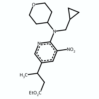 CCOC(=O)CC(C)c1cnc(N(CC2CC2)C2CCOCC2)c([N+](=O)[O-])c1